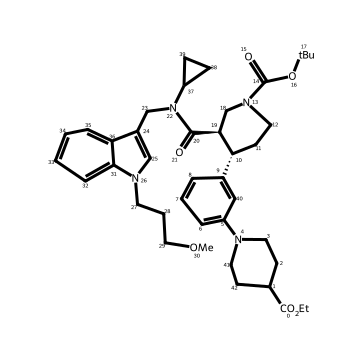 CCOC(=O)C1CCN(c2cccc([C@H]3CCN(C(=O)OC(C)(C)C)C[C@@H]3C(=O)N(Cc3cn(CCCOC)c4ccccc34)C3CC3)c2)CC1